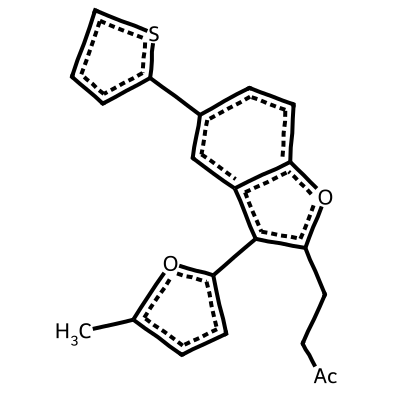 CC(=O)CCc1oc2ccc(-c3cccs3)cc2c1-c1ccc(C)o1